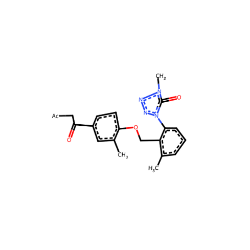 CC(=O)CC(=O)c1ccc(OCc2c(C)cccc2-n2nnn(C)c2=O)c(C)c1